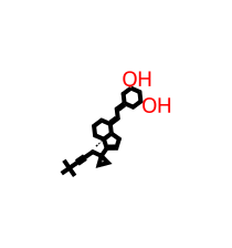 CC(C)(C)C#CCC1(C2=CCC3/C(=C/C=C4/CC(O)C[C@H](O)C4)CCC[C@]23C)CC1